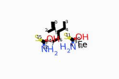 C=CC.CCCCC.NC(O)=S.NC(O)=S.[Fe]